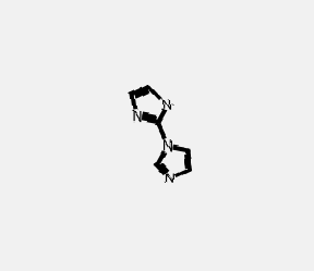 C1=CN=C(n2ccnc2)[N]1